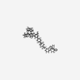 CN(Cc1cccc(C2CCC(=O)NC2=O)c1)C1CCN(c2ccc(-c3cc(F)c4c(c3)C(=O)N(C(C(=O)Nc3nccs3)c3ncn5c3CCC5)C4)cc2)CC1